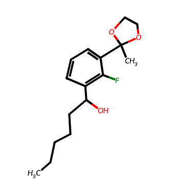 CCCCCC(O)c1cccc(C2(C)OCCO2)c1F